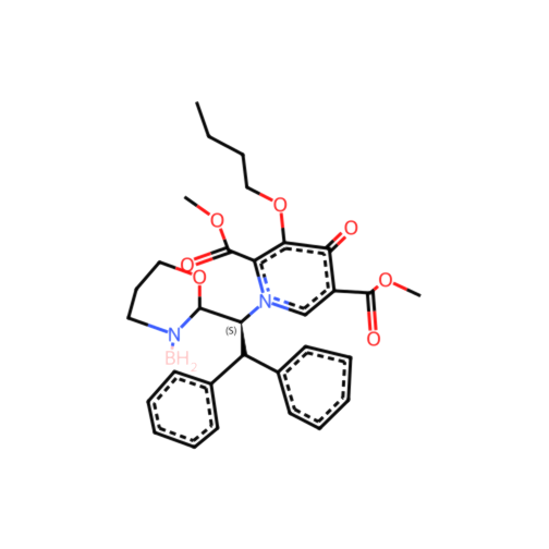 BN1CCCOC1[C@H](C(c1ccccc1)c1ccccc1)n1cc(C(=O)OC)c(=O)c(OCCCC)c1C(=O)OC